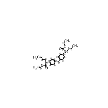 CCCCN(C(=O)OCC)c1ccc(Cc2ccc(N(CCCC)C(=O)OCC)cc2)cc1